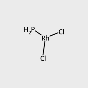 [PH2][Rh]([Cl])[Cl]